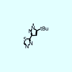 Cn1nc(-c2nncs2)cc1C(C)(C)C